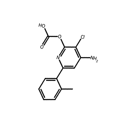 Cc1ccccc1-c1cc(N)c(Cl)c(OC(=O)O)n1